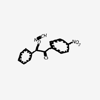 C#N.O=C(C(=O)c1ccc([N+](=O)[O-])cc1)c1ccccc1